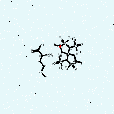 CCC[N+](CCC)(C(P(=O)(O)O)P(=O)(O)O)C(P(=O)(O)O)P(=O)(O)O.CSCC[C@H](N)C(=O)O